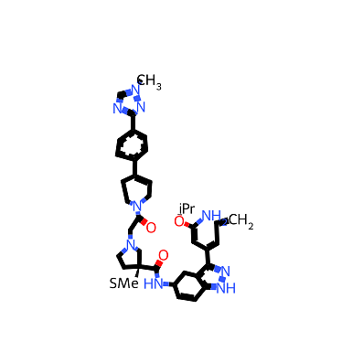 C=C/C=C(\C=C(/N)OC(C)C)c1n[nH]c2c1CC(NC(=O)[C@]1(SC)CCN(CC(=O)N3CC=C(c4ccc(-c5ncn(C)n5)cc4)CC3)C1)C=C2